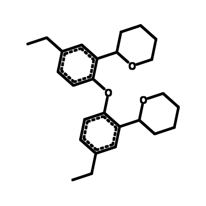 CCc1ccc(Oc2ccc(CC)cc2C2CCCCO2)c(C2CCCCO2)c1